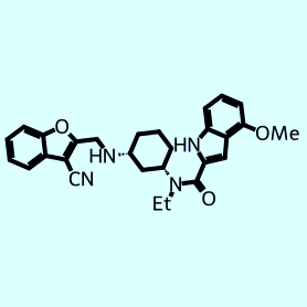 CCN(C(=O)c1cc2c(OC)cccc2[nH]1)[C@H]1CCC[C@@H](NCc2oc3ccccc3c2C#N)C1